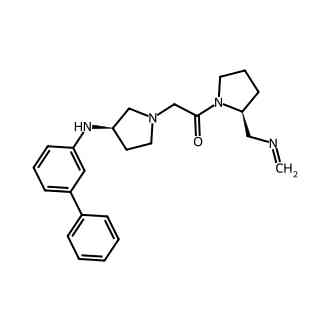 C=NC[C@@H]1CCCN1C(=O)CN1CC[C@@H](Nc2cccc(-c3ccccc3)c2)C1